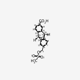 CS(=O)(=O)OCc1ccc2c(c1)[C@H]1O[C@@H]2c2cc(C(=O)O)ccc21